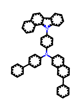 c1ccc(-c2ccc(N(c3ccc(-n4c5ccccc5c5ccc6ccccc6c54)cc3)c3ccc4ccc(-c5ccccc5)cc4c3)cc2)cc1